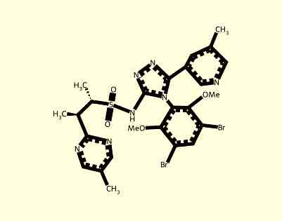 COc1c(Br)cc(Br)c(OC)c1-n1c(NS(=O)(=O)[C@@H](C)[C@H](C)c2ncc(C)cn2)nnc1-c1cncc(C)c1